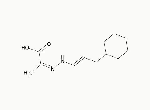 CC(=NNC=CCC1CCCCC1)C(=O)O